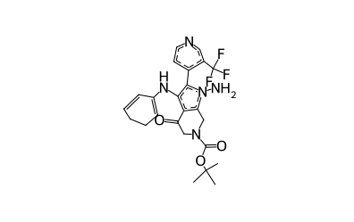 CC(C)(C)OC(=O)N1CC(=O)c2c(NC3=CCCC=C3)c(-c3ccncc3C(F)(F)F)n(N)c2C1